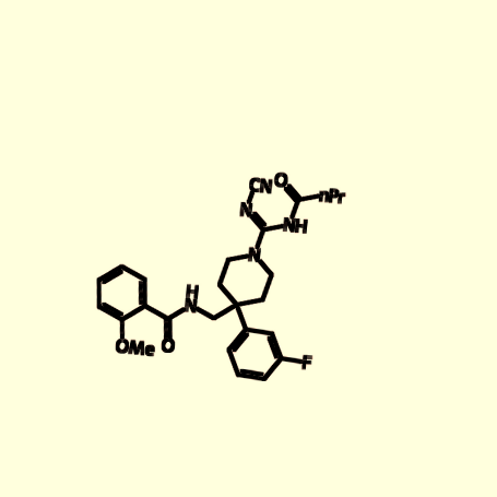 CCCC(=O)N/C(=N\C#N)N1CCC(CNC(=O)c2ccccc2OC)(c2cccc(F)c2)CC1